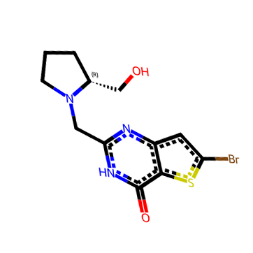 O=c1[nH]c(CN2CCC[C@@H]2CO)nc2cc(Br)sc12